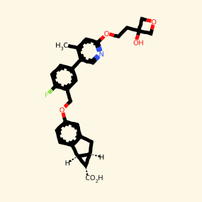 Cc1cc(OCCC2(O)COC2)ncc1-c1ccc(F)c(COc2ccc3c(c2)C[C@H]2[C@H](C(=O)O)[C@@H]32)c1